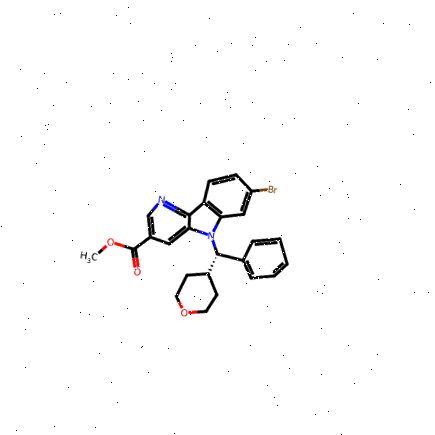 COC(=O)c1cnc2c3ccc(Br)cc3n([C@H](c3ccccc3)C3CCOCC3)c2c1